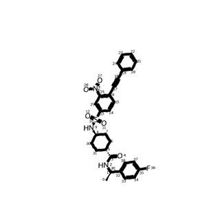 C[C@@H](NC(=O)[C@H]1CC[C@H](NS(=O)(=O)c2ccc(C#Cc3ccccc3)c([N+](=O)[O-])c2)CC1)c1ccc(F)cc1